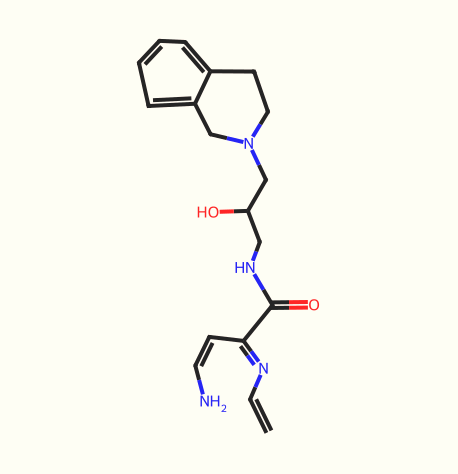 C=C/N=C(\C=C/N)C(=O)NCC(O)CN1CCc2ccccc2C1